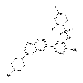 Cc1ncc(-c2ccc3ncc(N4CCN(C)CC4)nc3c2)cc1NS(=O)(=O)c1ccc(F)cc1F